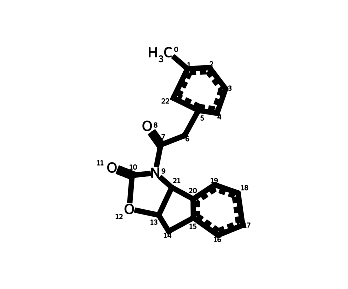 Cc1cccc(CC(=O)N2C(=O)OC3Cc4ccccc4C32)c1